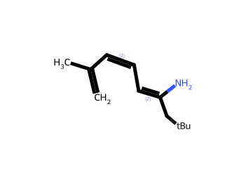 C=C(C)/C=C\C=C(/N)CC(C)(C)C